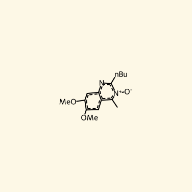 CCCCc1nc2cc(OC)c(OC)cc2c(C)[n+]1[O-]